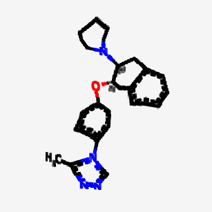 Cc1nncn1-c1ccc(O[C@H]2c3ccccc3C[C@@H]2N2CCCC2)cc1